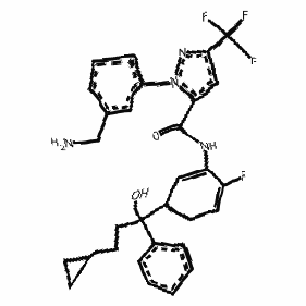 NCc1cccc(-n2nc(C(F)(F)F)cc2C(=O)NC2=CC(C(O)(CCC3CC3)c3ccccc3)CC=C2F)c1